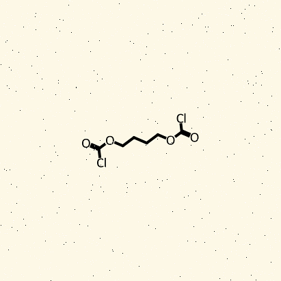 O=C(Cl)OCCCCOC(=O)Cl